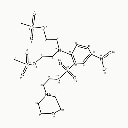 CS(=O)(=O)OCCN(CCOS(C)(=O)=O)c1ccc([N+](=O)[O-])cc1S(=O)(=O)NCCN1CCOCC1